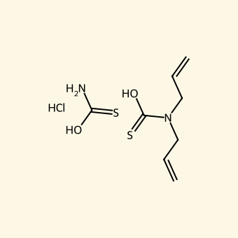 C=CCN(CC=C)C(O)=S.Cl.NC(O)=S